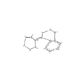 c1ccc2c(c1)OCCC2=C1SCCCS1